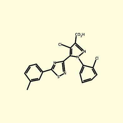 Cc1cccc(-c2nc(-c3c(Cl)c(C(=O)O)nn3-c3ccccc3Cl)ns2)c1